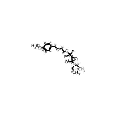 CCN(CC)C1(Br)OC1C(F)(F)OCCOCc1ccc(OC)cc1